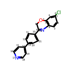 Clc1ccc2c(c1)OCC(c1ccc(-c3ccncc3)cc1)=N2